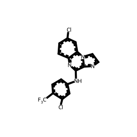 FC(F)(F)c1ccc(Nc2nc3ccc(Cl)cc3n3ccnc23)cc1Cl